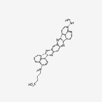 CCCNc1ccc2c3c(cccc13)-c1nc3cc4nc5c(nc4cc3nc1-2)-c1cccc2c(NCCCS(=O)(=O)O)ccc-5c12